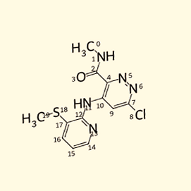 CNC(=O)c1nnc(Cl)cc1Nc1ncccc1SC